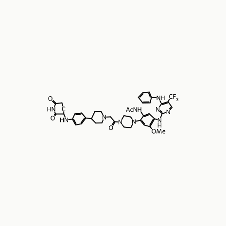 COc1cc(N2CCN(C(=O)CN3CCC(c4ccc(NC5CCC(=O)NC5=O)cc4)CC3)CC2)c(NC(C)=O)cc1Nc1ncc(C(F)(F)F)c(Nc2ccccc2)n1